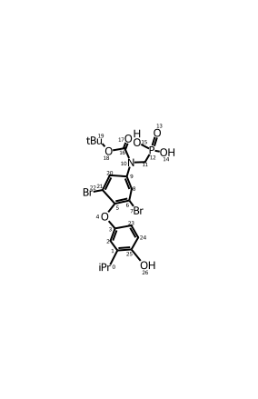 CC(C)c1cc(Oc2c(Br)cc(N(CP(=O)(O)O)C(=O)OC(C)(C)C)cc2Br)ccc1O